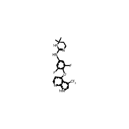 CC1(C)CCN=C(Nc2cc(F)c(Oc3ccnc4[nH]cc(C(F)(F)F)c34)c(F)c2)N1